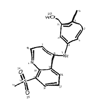 Cc1ccc(Nc2ccnc3c(S(C)(=O)=O)cccc23)cc1O